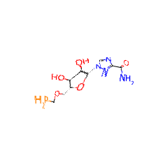 NC(=O)c1ncn([C@@H]2O[C@H](COCP)[C@@H](O)[C@H]2O)n1